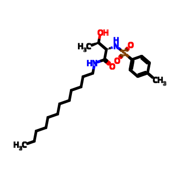 CCCCCCCCCCCCNC(=O)[C@@H](NS(=O)(=O)c1ccc(C)cc1)[C@@H](C)O